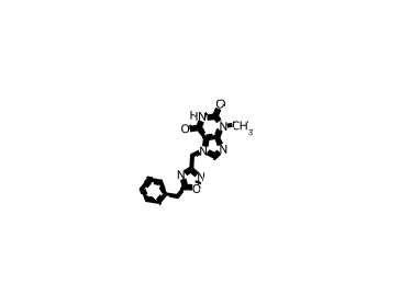 Cn1c(=O)[nH]c(=O)c2c1ncn2Cc1noc(Cc2ccccc2)n1